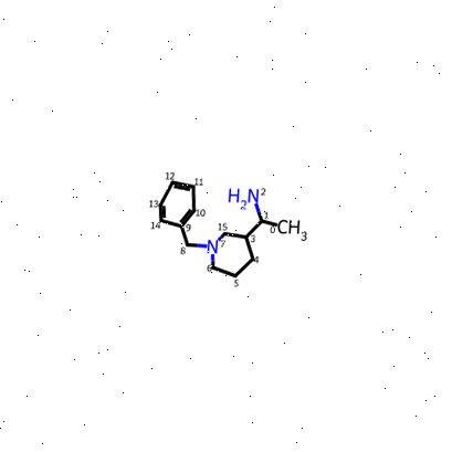 CC(N)C1CCCN(Cc2ccccc2)C1